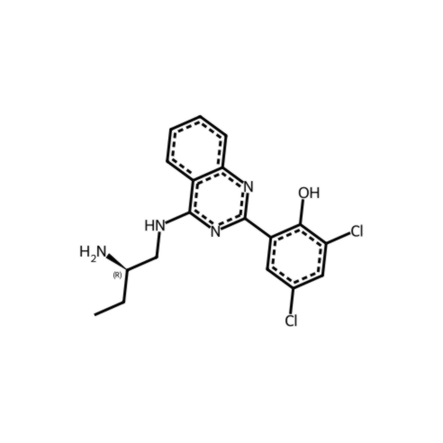 CC[C@@H](N)CNc1nc(-c2cc(Cl)cc(Cl)c2O)nc2ccccc12